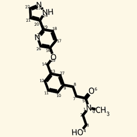 CN(CCO)C(=O)CCc1cccc(COc2ccc(-c3ccn[nH]3)nc2)c1